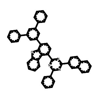 c1ccc(-c2cc(-c3ccccc3)cc(-c3ccc(-c4nc(-c5ccccc5)nc(-c5ccc6ccccc6c5)n4)c4c3oc3ccccc34)c2)cc1